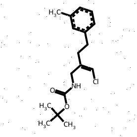 Cc1cccc(CCC(=CCl)CNC(=O)OC(C)(C)C)c1